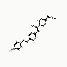 CCCCCCCCCCOc1ccc(C(=O)Oc2ccc(CCc3ccc(C#N)cc3)nc2)cc1